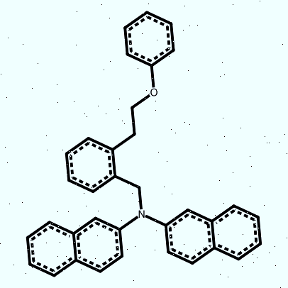 c1ccc(OCCc2ccccc2CN(c2ccc3ccccc3c2)c2ccc3ccccc3c2)cc1